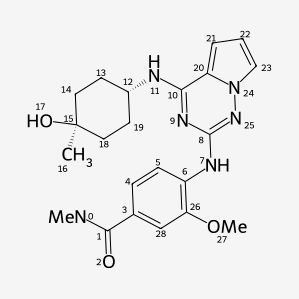 CNC(=O)c1ccc(Nc2nc(N[C@H]3CC[C@](C)(O)CC3)c3cccn3n2)c(OC)c1